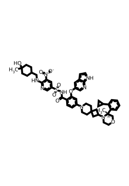 CC1(O)CCC(CNc2ncc(S(=O)(=O)NC(=O)c3ccc(N4CCC5(CC4)CC(N4CCOC[C@@]4(C)c4ccccc4C4CC4)C5)cc3Oc3cnc4[nH]ccc4c3)cc2[N+](=O)[O-])CC1